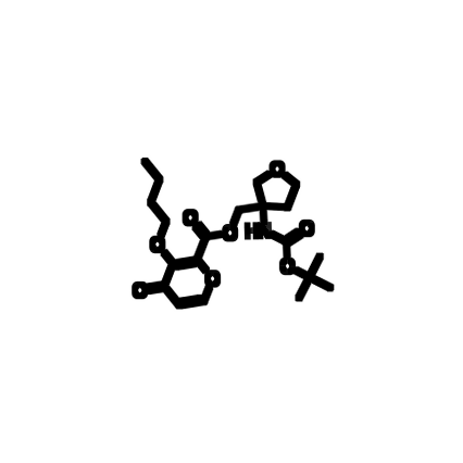 CCCCOc1c(C(=O)OCC2(NC(=O)OC(C)(C)C)CCOC2)occc1=O